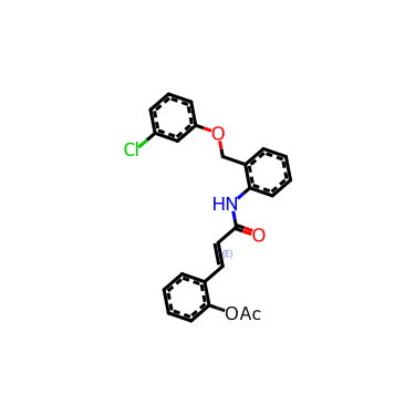 CC(=O)Oc1ccccc1/C=C/C(=O)Nc1ccccc1COc1cccc(Cl)c1